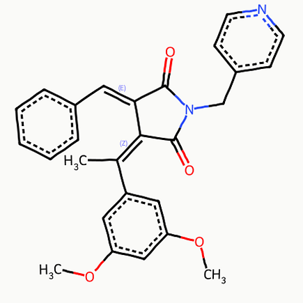 COc1cc(OC)cc(/C(C)=C2\C(=O)N(Cc3ccncc3)C(=O)\C2=C\c2ccccc2)c1